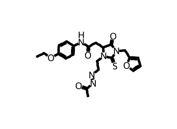 CCOc1ccc(NC(=O)CC2C(=O)N(Cc3ccco3)C(=S)N2CCN=NC(C)=O)cc1